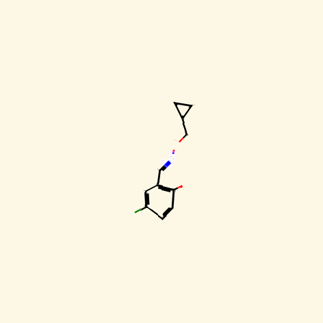 Oc1ccc(F)cc1/C=N/OCC1CC1